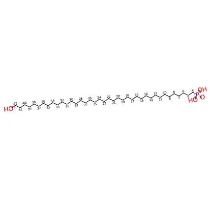 O=P(O)(O)CCCCCCCCCCCCCCCCCCCCCCCCCCCCCCCCCCCCCCCO